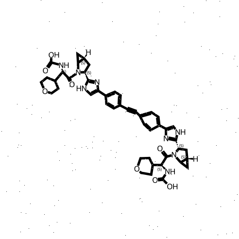 O=C(O)N[C@H](C(=O)N1C2C[C@H]2C[C@H]1c1nc(-c2ccc(C#Cc3ccc(-c4c[nH]c([C@@H]5C[C@@H]6CC6N5C(=O)[C@@H](NC(=O)O)C5CCOCC5)n4)cc3)cc2)c[nH]1)C1CCOCC1